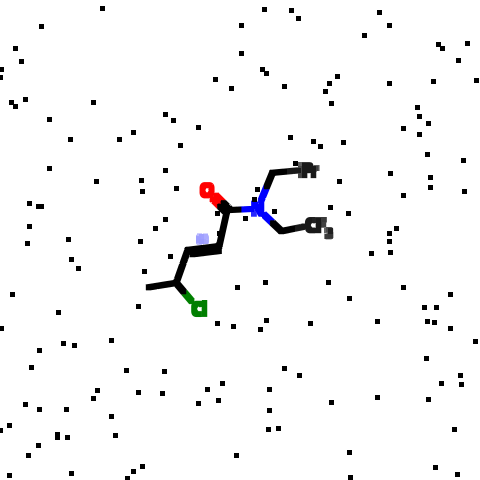 CC(Cl)/C=C/C(=O)N(CC(C)C)CC(F)(F)F